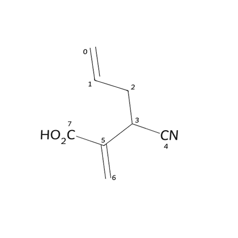 C=CCC(C#N)C(=C)C(=O)O